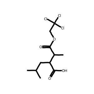 CC(C)CC(C(=O)O)C(C)C(=O)OCC(Cl)(Cl)Cl